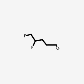 [O]CCCC(F)CF